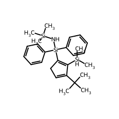 C[SiH](C)C1=C([Si](N[Si](C)(C)C)(c2ccccc2)c2ccccc2)CC=C1C(C)(C)C